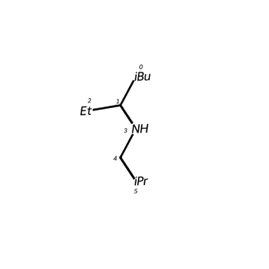 CCC(C)C(CC)NCC(C)C